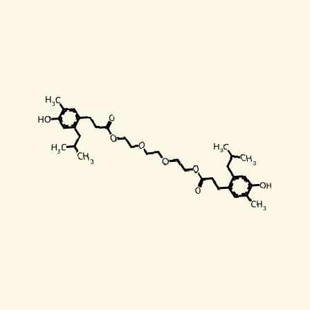 Cc1cc(CCC(=O)OCCOCCOCCOC(=O)CCc2cc(C)c(O)cc2CC(C)C)c(CC(C)C)cc1O